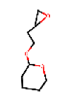 C1CCC(OCCC2CO2)OC1